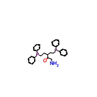 NCC(=O)C(CCP(c1ccccc1)c1ccccc1)CCP(c1ccccc1)c1ccccc1